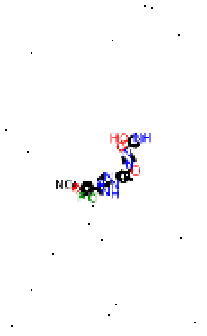 Cc1cc(Nc2nccn3c(-c4ccc(OCC#N)c(F)c4Cl)cnc23)ccc1C(=O)N1CCN(C(=O)[C@H]2CCNC[C@@H]2O)CC1